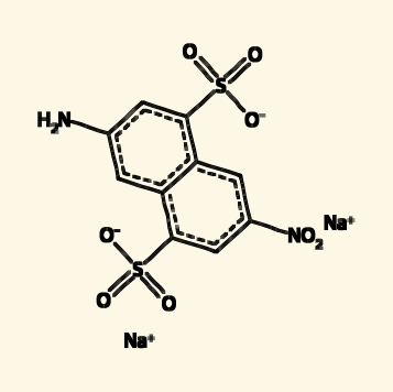 Nc1cc(S(=O)(=O)[O-])c2cc([N+](=O)[O-])cc(S(=O)(=O)[O-])c2c1.[Na+].[Na+]